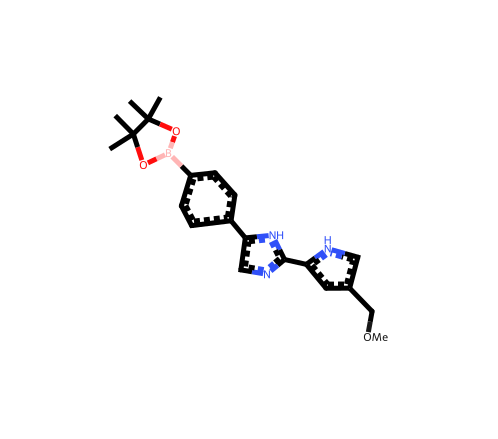 COCc1c[nH]c(-c2ncc(-c3ccc(B4OC(C)(C)C(C)(C)O4)cc3)[nH]2)c1